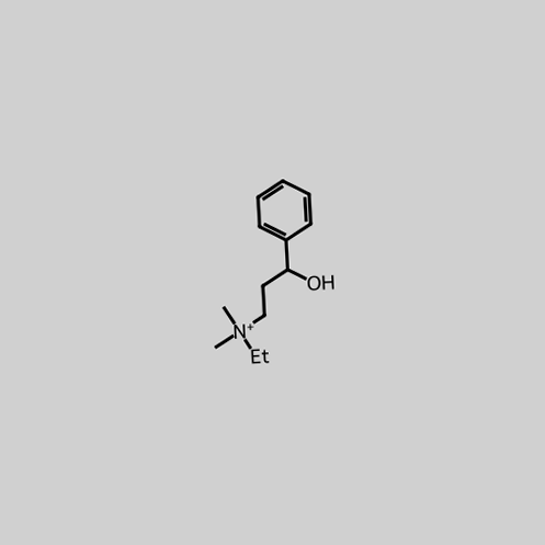 CC[N+](C)(C)CCC(O)c1ccccc1